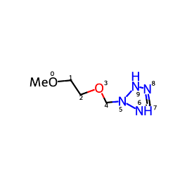 COCCOCN1N[C]=NN1